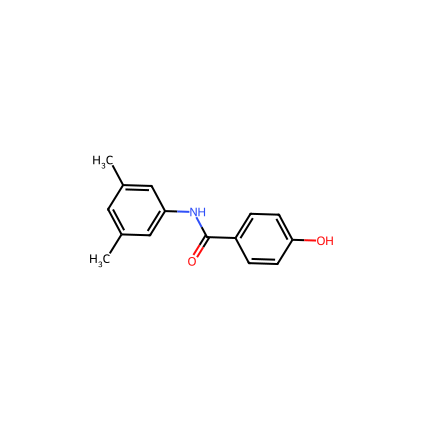 Cc1cc(C)cc(NC(=O)c2ccc(O)cc2)c1